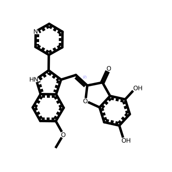 COc1ccc2[nH]c(-c3cccnc3)c(/C=C3\Oc4cc(O)cc(O)c4C3=O)c2c1